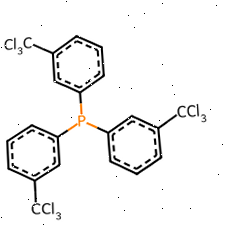 ClC(Cl)(Cl)c1cccc(P(c2cccc(C(Cl)(Cl)Cl)c2)c2cccc(C(Cl)(Cl)Cl)c2)c1